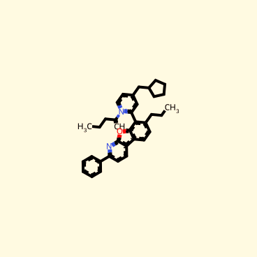 C=C(CCC)[n+]1ccc(CC2CCCC2)cc1-c1c(CCC)ccc2c1oc1nc(-c3ccccc3)ccc12